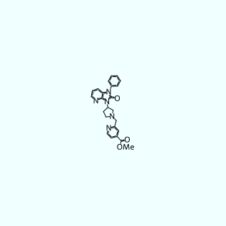 COC(=O)c1ccnc(CN2CCC(n3c(=O)n(-c4ccccc4)c4cccnc43)C2)c1